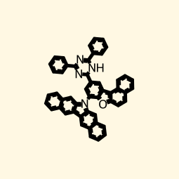 c1ccc(C2=NC(c3cc(-n4c5cc6ccccc6cc5c5cc6ccccc6cc54)c4oc5ccc6ccccc6c5c4c3)NC(c3ccccc3)=N2)cc1